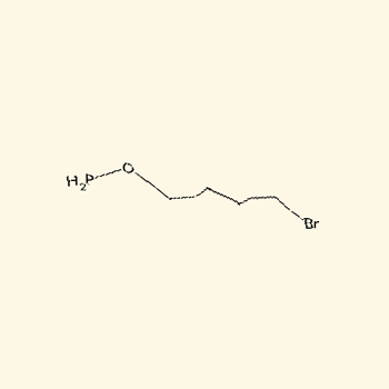 POCCCCBr